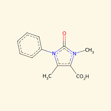 Cc1c(C(=O)O)n(C)c(=O)n1-c1ccccc1